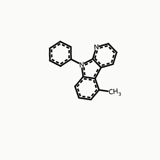 Cc1cccc2c1c1cccnc1n2-c1ccccc1